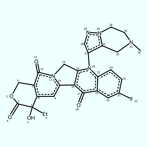 CCC1(O)C(=O)OCc2c1cc1n(c2=O)Cc2c-1c(=O)c1cc(F)ccc1n2-c1cnn2c1CN(C)CC2